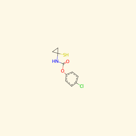 O=C(NC1(S)CC1)Oc1ccc(Cl)cc1